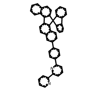 c1ccc(-c2cccc(-c3ccc(-c4ccc5c6c(ccc5c4)-c4c(ccc5ccccc45)C64c5ccccc5-c5ccccc54)cc3)n2)nc1